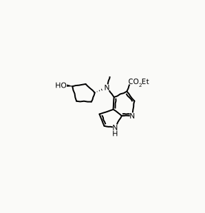 CCOC(=O)c1cnc2[nH]ccc2c1N(C)[C@@H]1CC[C@@H](O)C1